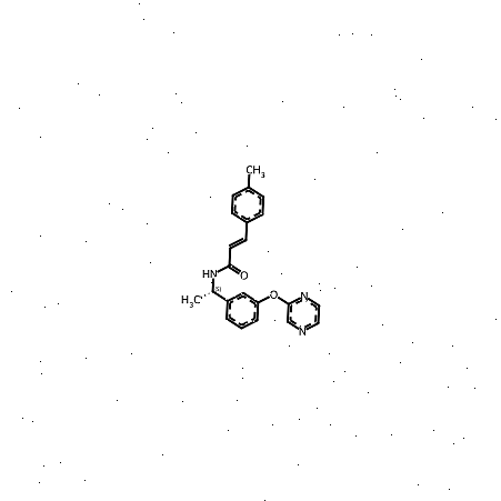 Cc1ccc(C=CC(=O)N[C@@H](C)c2cccc(Oc3cnccn3)c2)cc1